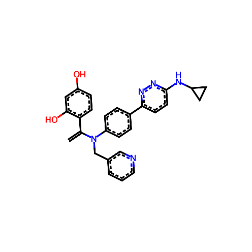 C=C(c1ccc(O)cc1O)N(Cc1cccnc1)c1ccc(-c2ccc(NC3CC3)nn2)cc1